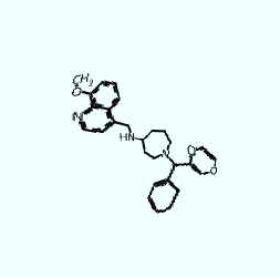 COc1cccc2c(CNC3CCCN(C(C4=CC=CCC4)C4=COC=CO4)CC3)ccnc12